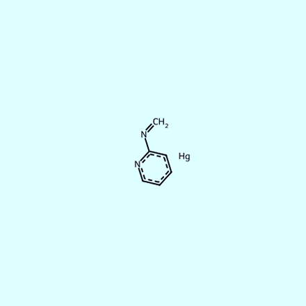 C=Nc1ccccn1.[Hg]